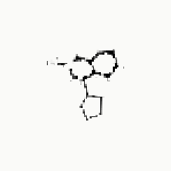 CC(C)(C)[n+]1cc(C2CCCC2)c2ccccc2c1